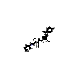 CC(c1ccc(F)cc1)N1C[C@@H]2[C@@H]3C1[C@]23CCNC(=O)/C=C/c1cccnc1